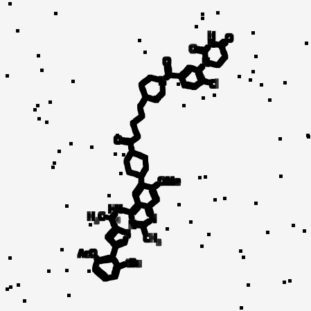 COc1cc2nc(C)nc(N[C@H](C)c3cc(-c4c(OC(C)=O)cccc4C(C)(C)C)cs3)c2cc1C1CCC(C(=O)CCCCC2CCN(C(=O)c3ccc(Cl)c(N4CCC(=O)NC4=O)c3)CC2)CC1